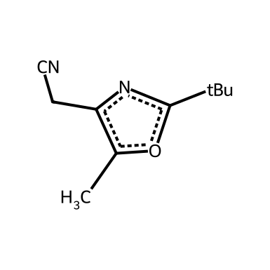 Cc1oc(C(C)(C)C)nc1CC#N